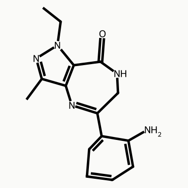 CCn1nc(C)c2c1C(=O)NCC(c1ccccc1N)=N2